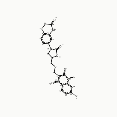 Cn1c(=O)n(CCCC2CN(c3ccc4c(c3)NC(=O)CS4)C(=O)O2)c(=O)c2ccc(Br)cc21